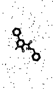 Cn1cc(-c2ccccc2)cc(C(=O)NCc2ccccc2)c1=O